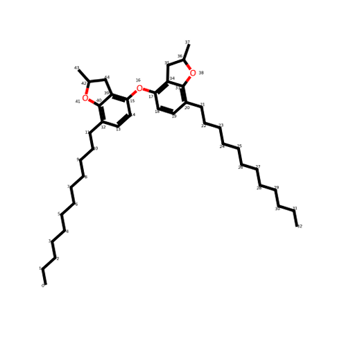 CCCCCCCCCCCCc1ccc(Oc2ccc(CCCCCCCCCCCC)c3c2CC(C)O3)c2c1OC(C)C2